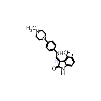 Cc1cccc2c1/C(=C\Nc1ccc(N3CCN(C)CC3)cc1)C(=O)N2